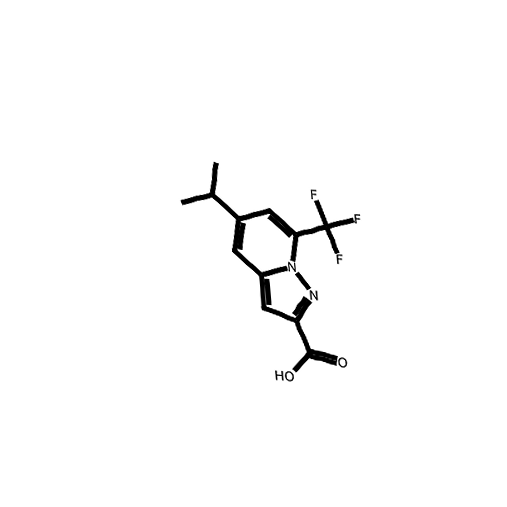 CC(C)c1cc(C(F)(F)F)n2nc(C(=O)O)cc2c1